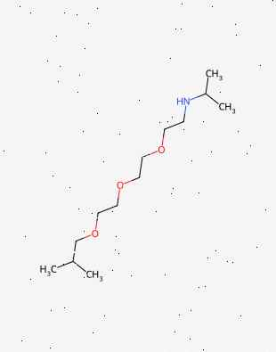 CC(C)COCCOCCOCCNC(C)C